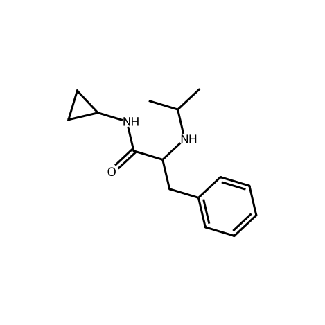 CC(C)NC(Cc1ccccc1)C(=O)NC1CC1